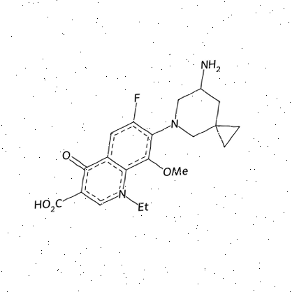 CCn1cc(C(=O)O)c(=O)c2cc(F)c(N3CC(N)CC4(CC4)C3)c(OC)c21